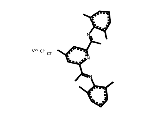 CC(=Nc1c(C)cccc1C)c1cc(C)cc(C(C)=Nc2c(C)cccc2C)n1.[Cl-].[Cl-].[V+2]